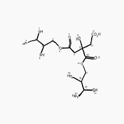 CCCC(S)C(S)COC(=O)CC(O)(CC(=O)O)C(=O)OCC(S)C(S)CCC